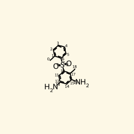 Cc1ccccc1S(=O)(=O)c1cc(N)cc(N)c1C